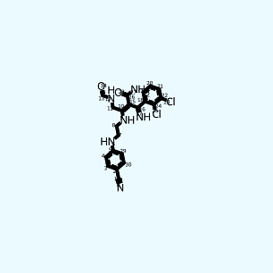 N#Cc1ccc(NCCN/C(CNC=O)=C(\C(=N)c2cccc(Cl)c2Cl)C(N)=O)cc1